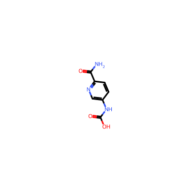 NC(=O)c1ccc(NC(=O)O)cn1